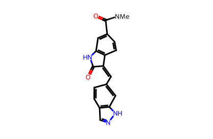 CNC(=O)c1ccc2c(c1)NC(=O)/C2=C\c1ccc2cn[nH]c2c1